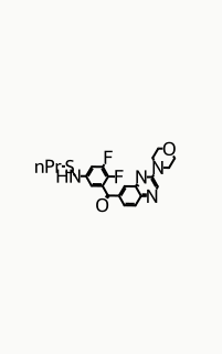 CCCSNc1cc(F)c(F)c(C(=O)c2ccc3ncc(N4CCOCC4)nc3c2)c1